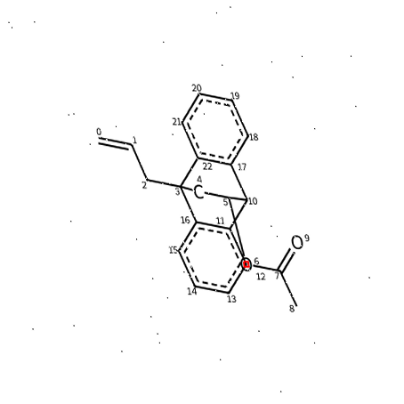 C=CCC12CC(OC(C)=O)C(c3ccccc31)c1ccccc12